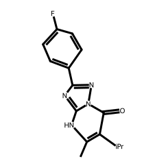 Cc1[nH]c2nc(-c3ccc(F)cc3)nn2c(=O)c1C(C)C